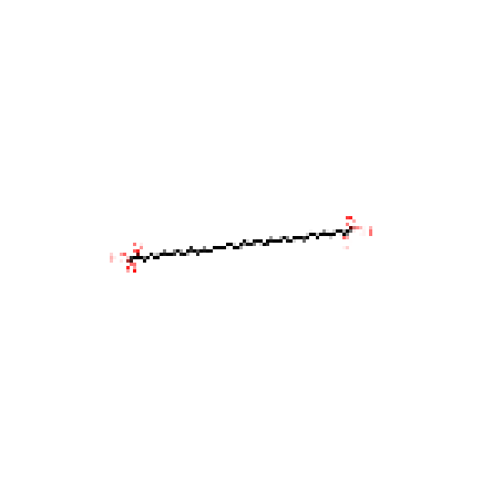 O=C(O)C(=O)CCCCCCCCCCCCCCCCCCCCCCCCCCCCCCC(=O)C(=O)O